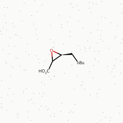 CCCCC[C@@H]1OC1C(=O)O